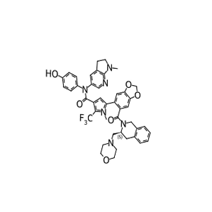 CN1CCc2cc(N(C(=O)c3cc(-c4cc5c(cc4C(=O)N4Cc6ccccc6C[C@H]4CN4CCOCC4)OCO5)n(C)c3C(F)(F)F)c3ccc(O)cc3)cnc21